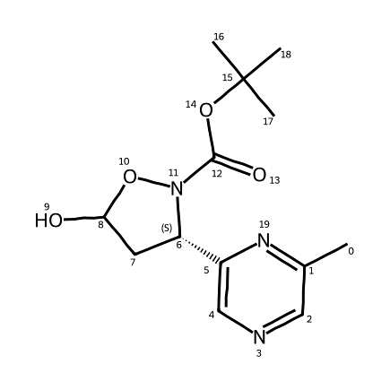 Cc1cncc([C@@H]2CC(O)ON2C(=O)OC(C)(C)C)n1